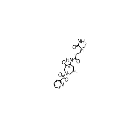 C[C@H]1C[C@H](NC(=O)[CH]C[C@H](C)C(N)=O)C(=O)CN(S(=O)(=O)c2ccccn2)C1